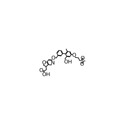 Cc1cc(OCCCS(C)(=O)=O)cc(CO)c1-c1cccc(COc2cc3c(cn2)C(CC(=O)O)CO3)c1